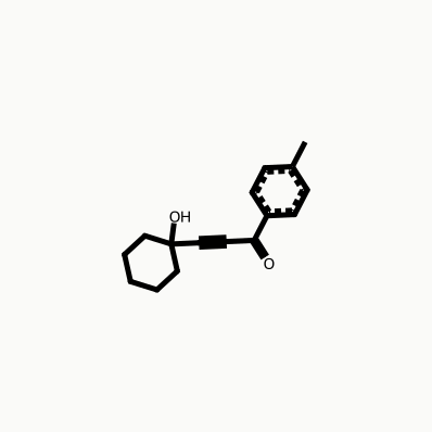 Cc1ccc(C(=O)C#CC2(O)CCCCC2)cc1